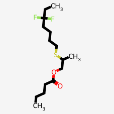 CCCCC(=O)OCC(C)SCCCCC(F)(F)CC